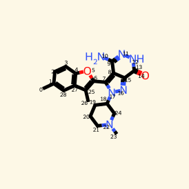 Cc1ccc2oc(-c3c4c(N)n[nH]c(=O)c4nn3C3CCCN(C)C3)c(C)c2c1